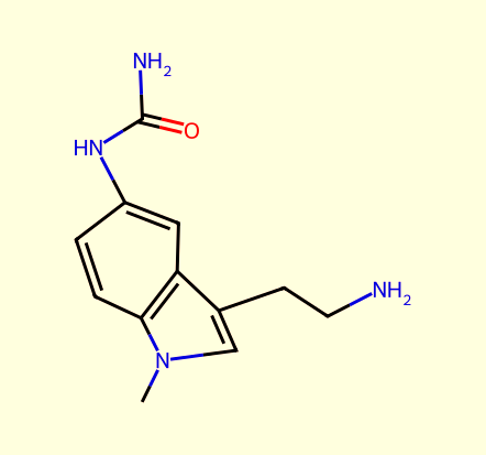 Cn1cc(CCN)c2cc(NC(N)=O)ccc21